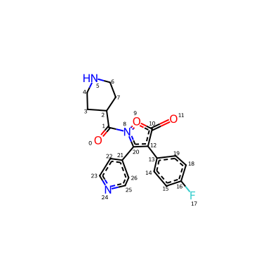 O=C(C1CCNCC1)n1oc(=O)c(-c2ccc(F)cc2)c1-c1ccncc1